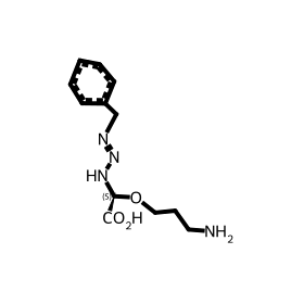 NCCCO[C@H](NN=NCc1ccccc1)C(=O)O